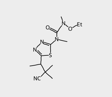 CCON(C)C(=O)N(C)c1nnc(C(C)C(C)(C)C#N)s1